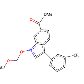 COC(=O)c1ccc2c(-c3cccc(C(F)(F)F)c3)cn(OCOC(C)(C)C)c2c1